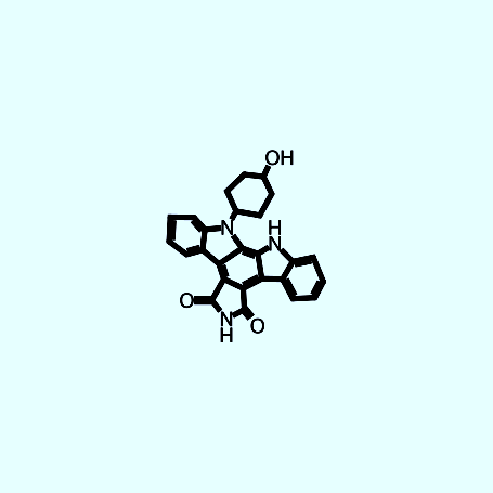 O=C1NC(=O)c2c1c1c3ccccc3[nH]c1c1c2c2ccccc2n1C1CCC(O)CC1